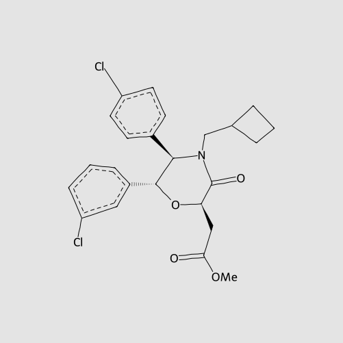 COC(=O)C[C@H]1O[C@H](c2cccc(Cl)c2)[C@@H](c2ccc(Cl)cc2)N(CC2CCC2)C1=O